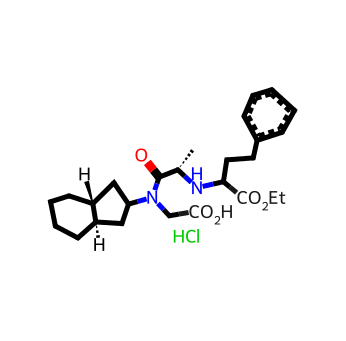 CCOC(=O)C(CCc1ccccc1)N[C@@H](C)C(=O)N(CC(=O)O)C1C[C@H]2CCCC[C@@H]2C1.Cl